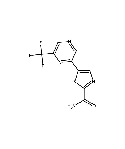 NC(=O)c1ncc(-c2cncc(C(F)(F)F)n2)s1